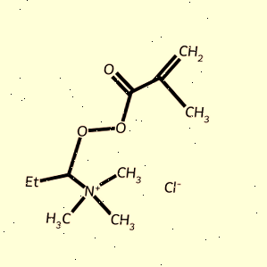 C=C(C)C(=O)OOC(CC)[N+](C)(C)C.[Cl-]